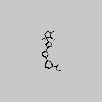 COC(=O)c1cccc(-c2ccc(-c3cc([C@]4(O)CCN(C)C4=O)on3)o2)n1